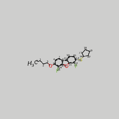 CCCCOc1ccc2c(oc3c(F)c(SC4CCCC4)ccc32)c1F